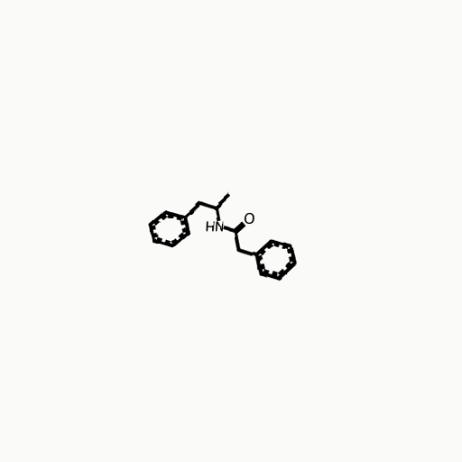 CC(Cc1ccccc1)NC(=O)Cc1ccccc1